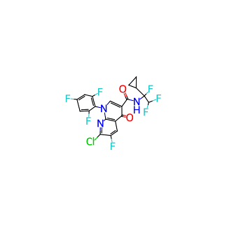 O=C(NC(F)(C(F)F)C1CC1)c1cn(-c2c(F)cc(F)cc2F)c2nc(Cl)c(F)cc2c1=O